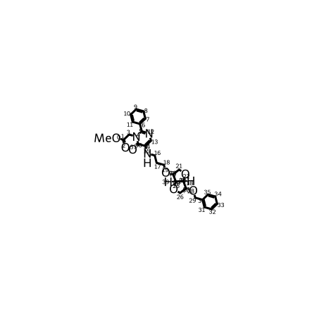 COC(=O)Cn1c(-c2ccccc2)ncc(NCCCO[C@@H]2CO[C@H]3[C@@H]2OC[C@H]3OCc2ccccc2)c1=O